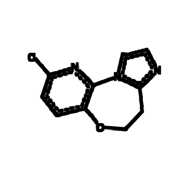 Clc1ccc2c(n1)-n1ccnc1CCO2